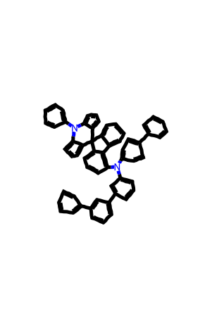 c1ccc(-c2ccc(N(c3cccc(-c4cccc(-c5ccccc5)c4)c3)c3cccc4c3-c3ccccc3C43c4ccccc4N(c4ccccc4)c4ccccc43)cc2)cc1